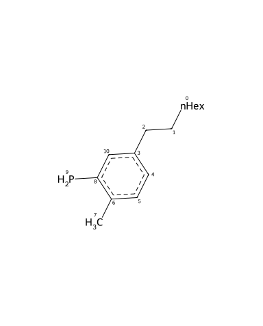 CCCCCCCCc1ccc(C)c(P)c1